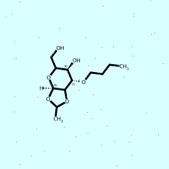 CCCCO[C@@H]1C2OC(C)O[C@H]2OC(CO)[C@H]1O